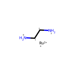 NCCN.[Ru+2]